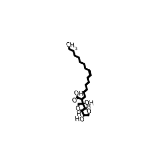 CCCCCCCC/C=C\CCCCCCC(C(=O)O)[C@@]1(O)CO[C@@H]2[C@H](O)CO[C@@H]21